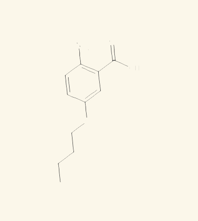 CCCCSc1ccc(N)c(C(=O)O)c1